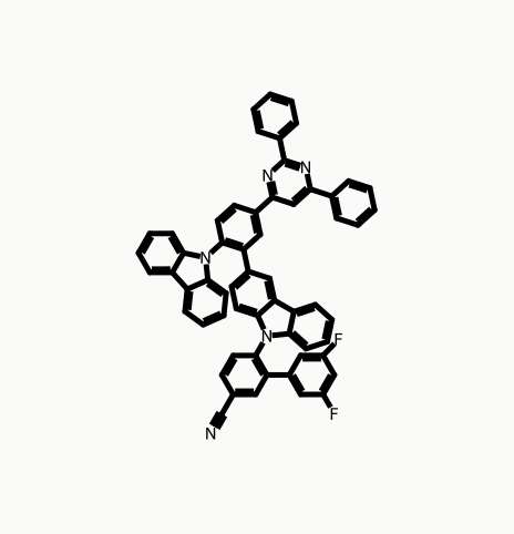 N#Cc1ccc(-n2c3ccccc3c3cc(-c4cc(-c5cc(-c6ccccc6)nc(-c6ccccc6)n5)ccc4-n4c5ccccc5c5ccccc54)ccc32)c(-c2cc(F)cc(F)c2)c1